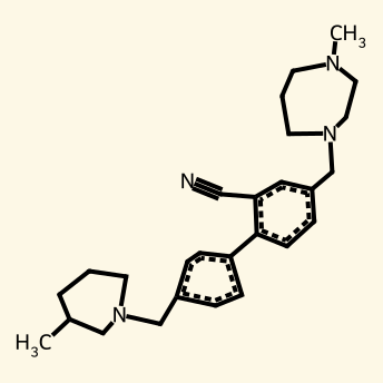 CC1CCCN(Cc2ccc(-c3ccc(CN4CCCN(C)CC4)cc3C#N)cc2)C1